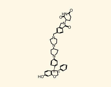 O=C1CCC(N2Cc3cc(CN4CCN(C5CCN(c6ccc([C@@H]7c8ccc(O)cc8OC[C@@H]7c7ccccc7)cc6)CC5)CC4)ccc3C2=O)C(=O)N1